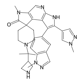 CN1C(=O)C2(CCN(C(C)(C)C3CNC3)CC2)c2c1cnc1[nH]c(-c3cnn(C)c3)c(-c3ccc4c(cnn4C)c3)c21